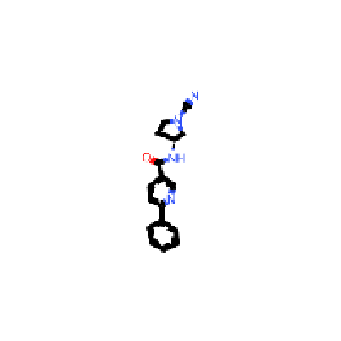 N#CN1CC[C@@H](NC(=O)c2ccc(-c3ccccc3)nc2)C1